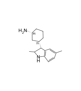 Cc1ccc2c(c1)C([C@H]1CCC[C@@H](N)C1)C(C)N2